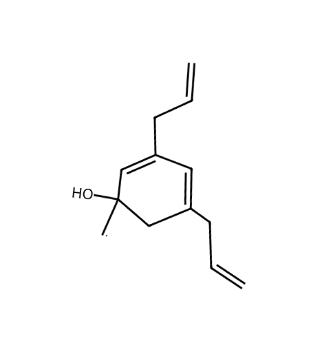 [CH2]C1(O)C=C(CC=C)C=C(CC=C)C1